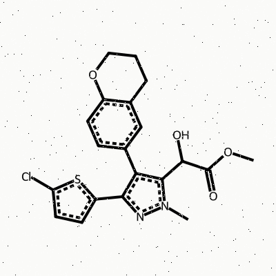 COC(=O)C(O)c1c(-c2ccc3c(c2)CCCO3)c(-c2ccc(Cl)s2)nn1C